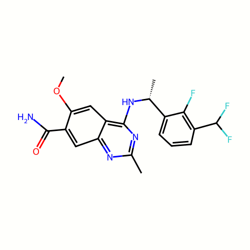 COc1cc2c(N[C@H](C)c3cccc(C(F)F)c3F)nc(C)nc2cc1C(N)=O